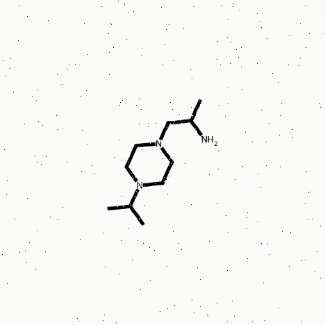 CC(N)CN1CCN(C(C)C)CC1